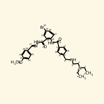 CCN(CC)CCNCc1ccc(C(=O)Nc2ccc(Br)cc2C(=O)NN=Cc2ccc(OC)cc2)cc1